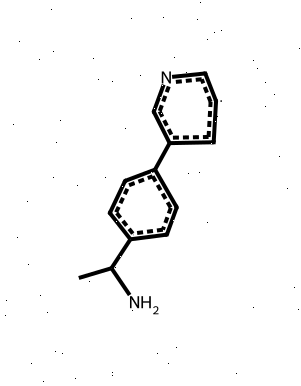 CC(N)c1ccc(-c2c[c]cnc2)cc1